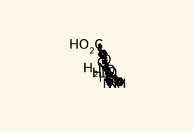 N[C@@H](CC(=O)Oc1ccc(CCC(=O)O)cc1)C(=O)N[C@@H](Cc1c[nH]cn1)C(=O)NCc1ccccc1